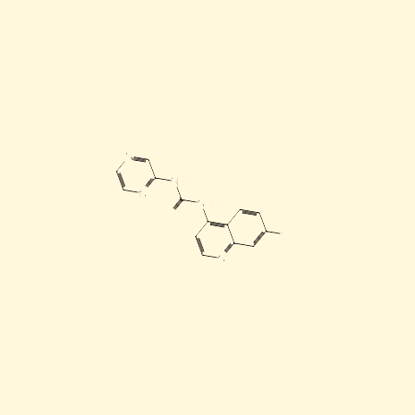 O=C(Nc1cnccn1)Nc1ccnc2cc(O)ccc12